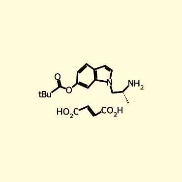 C[C@@H](N)Cn1ccc2ccc(OC(=O)C(C)(C)C)cc21.O=C(O)C=CC(=O)O